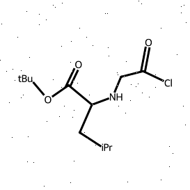 CC(C)CC(NCC(=O)Cl)C(=O)OC(C)(C)C